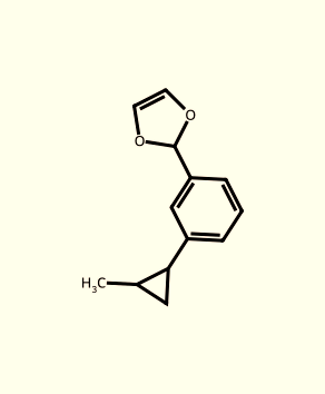 CC1CC1c1cccc(C2OC=CO2)c1